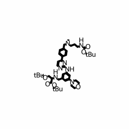 CN(CCCNC(=O)OC(C)(C)C)Cc1ccc(-c2ccnc(Nc3cc(CNC(COC(C)(C)C)C(=O)OC(C)(C)C)cc(N4CCOCC4)c3)n2)cc1